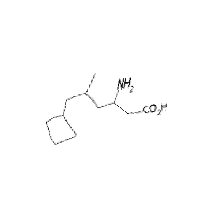 CC(CC(N)CC(=O)O)CC1CCC1